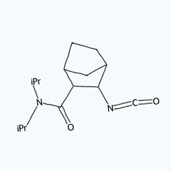 CC(C)N(C(=O)C1C2CCC(C2)C1N=C=O)C(C)C